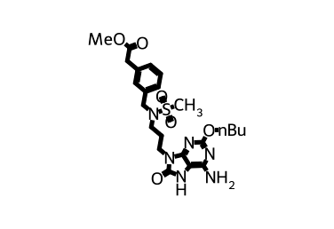 CCCCOc1nc(N)c2[nH]c(=O)n(CCCN(Cc3cccc(CC(=O)OC)c3)S(C)(=O)=O)c2n1